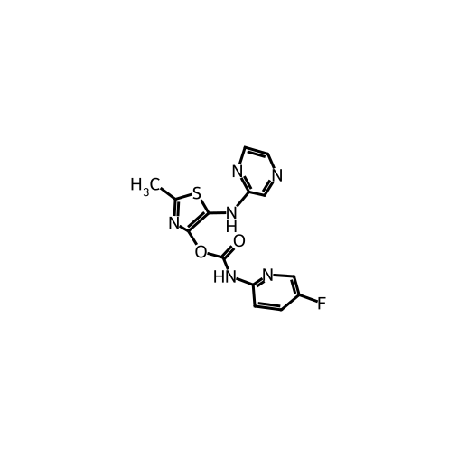 Cc1nc(OC(=O)Nc2ccc(F)cn2)c(Nc2cnccn2)s1